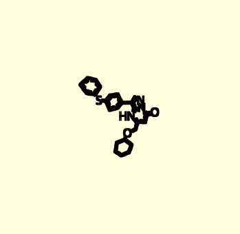 O=c1cc(COC2CCCCC2)[nH]c2c(-c3ccc(Sc4ccccc4)cc3)cnn12